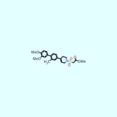 COC(=O)CS(=O)(=O)N1CC=C(c2ccc(-c3ccc(OC)c(OC)c3)c(C)c2)CC1